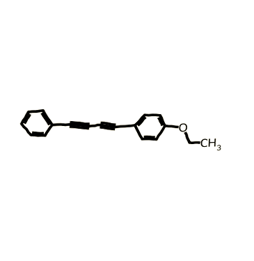 CCOc1ccc(C#CC#Cc2ccccc2)cc1